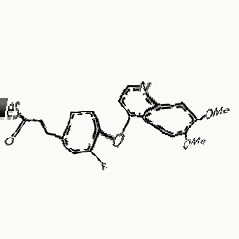 COc1cc2nccc(Oc3ccc(CCC(=O)SC)cc3F)c2cc1OC